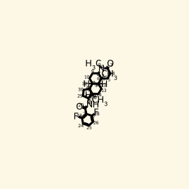 CN1C(=O)CC[C@@]2(C)C1CC[C@@H]1[C@H]2CC[C@]2(C)C(NC(=O)c3c(F)cccc3F)CC[C@@H]12